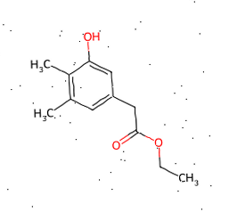 CCOC(=O)Cc1cc(C)c(C)c(O)c1